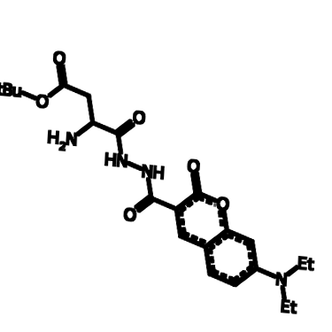 CCN(CC)c1ccc2cc(C(=O)NNC(=O)C(N)CC(=O)OC(C)(C)C)c(=O)oc2c1